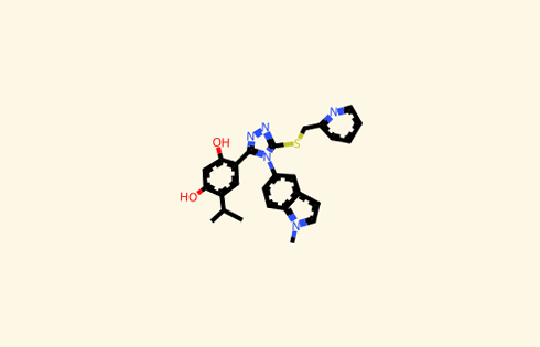 CC(C)c1cc(-c2nnc(SCc3ccccn3)n2-c2ccc3c(ccn3C)c2)c(O)cc1O